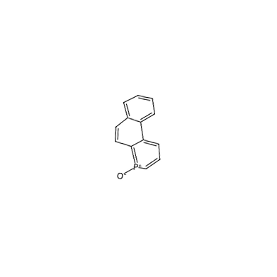 [O-][p+]1cccc2c3ccccc3ccc21